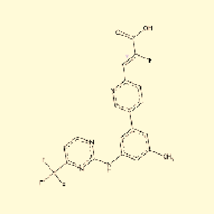 Cc1cc(Nc2nccc(C(F)(F)F)n2)cc(-c2ccc(/C=C(\F)C(=O)O)nc2)c1